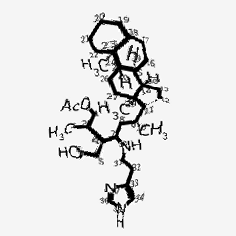 CC(=O)OCC(C)[C@H](CO)C(C[C@@H](C)[C@H]1CC[C@H]2[C@@H]3CCC4CCCC[C@]4(C)[C@H]3CC[C@]12C)NCCc1c[nH]cn1